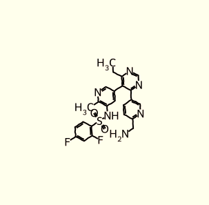 CCc1ncnc(-c2ccc(CN)nc2)c1-c1cnc(C)c(NS(=O)(=O)c2ccc(F)cc2F)c1